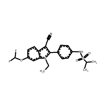 CCn1c(-c2ccc(NS(=O)(=O)C(C)C)cc2)c(C#N)c2ccc(OC(F)F)cc21